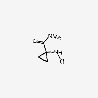 CNC(=O)C1(NCl)CC1